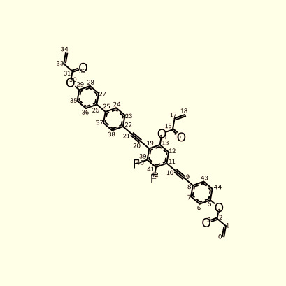 C=CC(=O)Oc1ccc(C#Cc2cc(OC(=O)C=C)c(C#Cc3ccc(-c4ccc(OC(=O)C=C)cc4)cc3)c(F)c2F)cc1